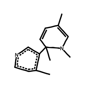 CC1=CN(C)C(C)(c2cnccc2C)C=C1